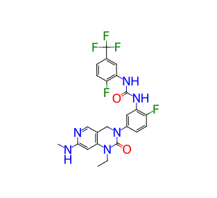 CCN1C(=O)N(c2ccc(F)c(NC(=O)Nc3cc(C(F)(F)F)ccc3F)c2)Cc2cnc(NC)cc21